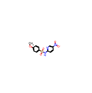 COc1ccc(S(=O)(=O)Nc2ccc([N+](=O)[O-])cn2)cc1